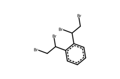 BrCC(Br)c1ccccc1C(Br)CBr